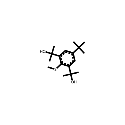 CSc1c(C(C)(C)O)cc(C(C)(C)C)cc1C(C)(C)O